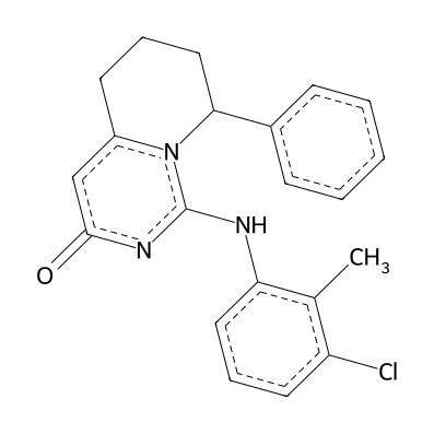 Cc1c(Cl)cccc1Nc1nc(=O)cc2n1C(c1ccccc1)CCC2